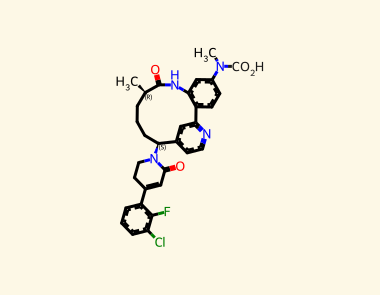 C[C@@H]1CCC[C@H](N2CCC(c3cccc(Cl)c3F)=CC2=O)c2ccnc(c2)-c2ccc(N(C)C(=O)O)cc2NC1=O